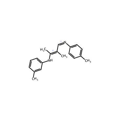 CC(/C=N\c1ccc(C)cc1)=C(/C)Nc1cccc(C)c1